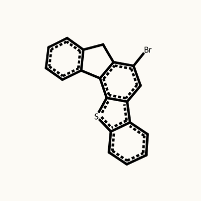 Brc1cc2c(sc3ccccc32)c2c1Cc1ccccc1-2